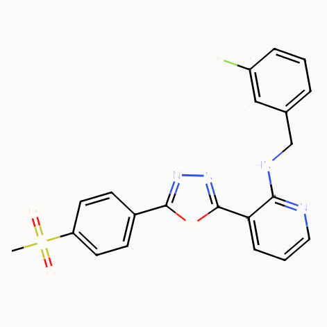 CS(=O)(=O)c1ccc(-c2nnc(-c3cccnc3NCc3cccc(F)c3)o2)cc1